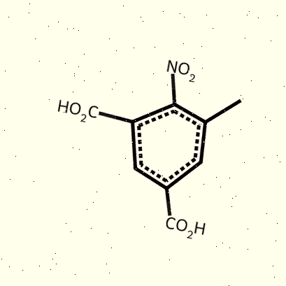 Cc1cc(C(=O)O)cc(C(=O)O)c1[N+](=O)[O-]